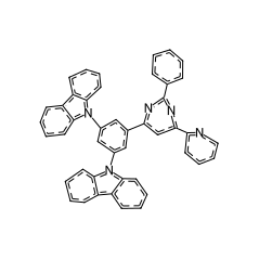 c1ccc(-c2nc(-c3cc(-n4c5ccccc5c5ccccc54)cc(-n4c5ccccc5c5ccccc54)c3)cc(-c3ccccn3)n2)cc1